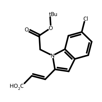 CC(C)(C)OC(=O)Cn1c(C=CC(=O)O)cc2ccc(Cl)cc21